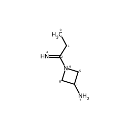 CCC(=N)N1CC(N)C1